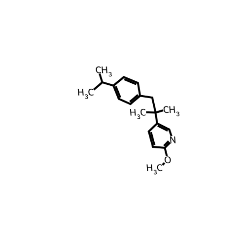 COc1ccc(C(C)(C)Cc2ccc(C(C)C)cc2)cn1